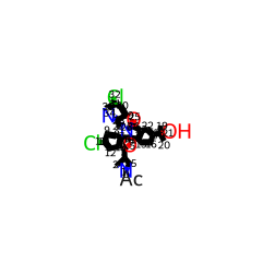 CC(=O)N1CC(CO[C@]2(c3ccc(Cl)cc3)c3ccc(C(C)(C)O)cc3C(=O)N2Cc2ccc(Cl)cn2)C1